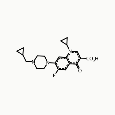 O=C(O)c1cn(C2CC2)c2cc(N3CCN(CC4CC4)CC3)c(F)cc2c1=O